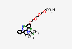 C[C@@H]1Cc2c([nH]c3ccccc23)[C@@H](c2c(F)cc(OCCOCCOCCOCC(=O)O)cc2F)N1CC(C)(C)F